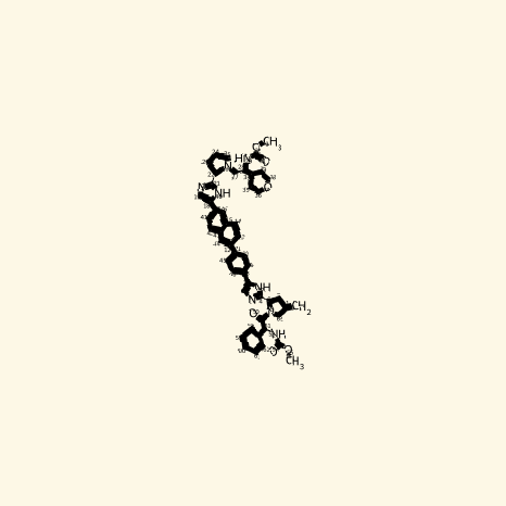 C=C1C[C@@H](c2ncc(-c3ccc(-c4ccc5cc(-c6cnc([C@@H]7CCCN7C[C@@H](NC(=O)OC)C7CCOCC7)[nH]6)ccc5c4)cc3)[nH]2)N(C(=O)[C@H](NC(=O)OC)c2ccccc2)C1